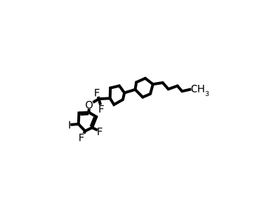 CCCCCC1CCC(C2CCC(C(F)(F)OC3=CC(I)C(F)C(F)=C3)CC2)CC1